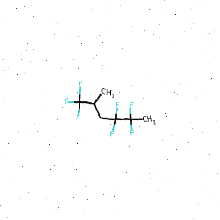 CC(CC(F)(F)C(C)(F)F)C(F)(F)F